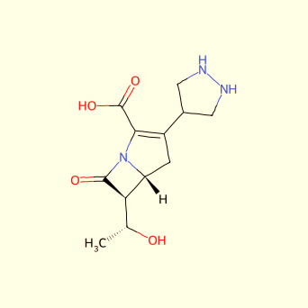 C[C@@H](O)[C@H]1C(=O)N2C(C(=O)O)=C(C3CNNC3)C[C@H]12